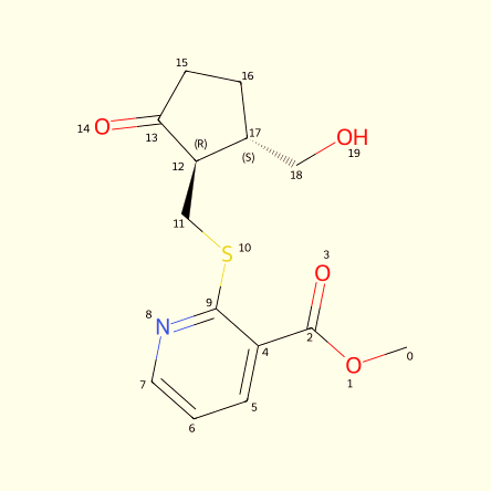 COC(=O)c1cccnc1SC[C@H]1C(=O)CC[C@@H]1CO